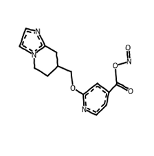 O=NOC(=O)c1ccnc(OCC2CCn3ccnc3C2)c1